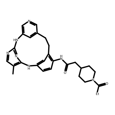 CCC(=O)N1CCC(CC(=O)Nc2ccc3cc2CCc2cncc(c2)Nc2ncc(C)c(n2)N3)CC1